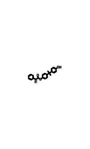 CC(C)(c1ccc(O)cc1)c1ccc(OC(=O)Nc2ccccc2)cc1